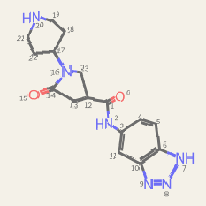 O=C(Nc1ccc2[nH]nnc2c1)C1CC(=O)N(C2CCNCC2)C1